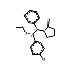 CCO[C@@H](c1ccc(Cl)cc1)[C@@H](c1ccccc1)N1CCCC1=O